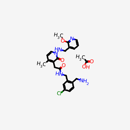 CC(=O)O.COc1ncccc1CNn1ccc(C)c(CC(=O)NCc2cc(Cl)ccc2CN)c1=O